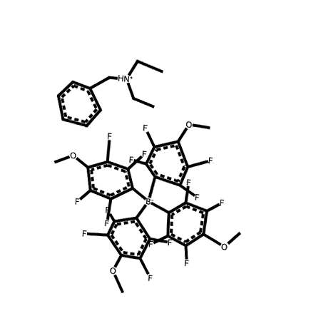 CC[NH+](CC)Cc1ccccc1.COc1c(F)c(F)c([B-](c2c(F)c(F)c(OC)c(F)c2F)(c2c(F)c(F)c(OC)c(F)c2F)c2c(F)c(F)c(OC)c(F)c2F)c(F)c1F